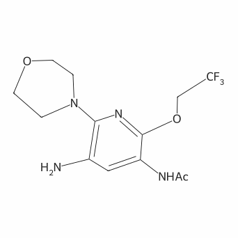 CC(=O)Nc1cc(N)c(N2CCOCC2)nc1OCC(F)(F)F